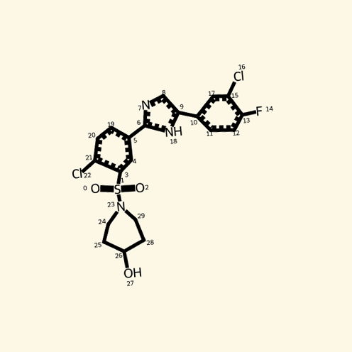 O=S(=O)(c1cc(-c2ncc(-c3ccc(F)c(Cl)c3)[nH]2)ccc1Cl)N1CCC(O)CC1